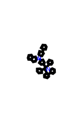 c1ccc(-c2ccc(N(c3ccc(-c4c(-c5ccccc5)c5c6ccccc6c6ccccc6n5c4-c4ccccc4)cc3)c3ccc4ccccc4c3)cc2)cc1